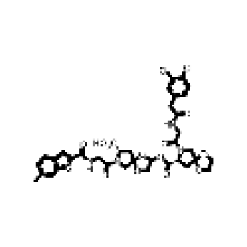 Cc1ccc2cc(C(=O)NCC(=O)N3CC4(C[C@H]3C(=O)O)OCC(OC(=O)[C@@H]3CC5(CN3C(=O)CNC(=O)Cc3ccc(Cl)c(Cl)c3)OCCO5)O4)sc2c1